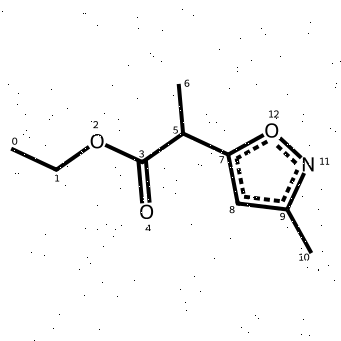 CCOC(=O)C(C)c1cc(C)no1